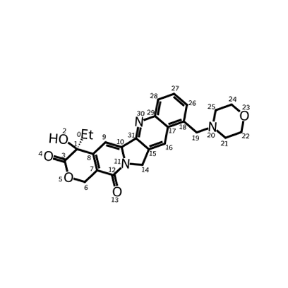 CC[C@@]1(O)C(=O)OCc2c1cc1n(c2=O)Cc2cc3c(CN4CCOCC4)cccc3nc2-1